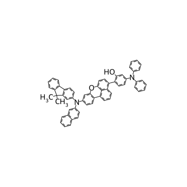 CC1(C)c2ccccc2-c2ccc(N(c3ccc4c(c3)Oc3ccc(-c5ccc(N(c6ccccc6)c6ccccc6)cc5O)c5cccc-4c35)c3ccc4ccccc4c3)cc21